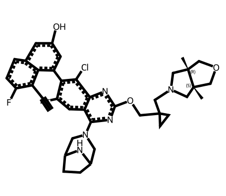 C#Cc1c(F)ccc2cc(O)cc(-c3c(C(C)C)cc4c(N5CC6CCC(C5)N6)nc(OCC5(CN6C[C@]7(C)COC[C@]7(C)C6)CC5)nc4c3Cl)c12